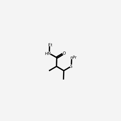 CCCSC(C)C(C)C(=O)NCC